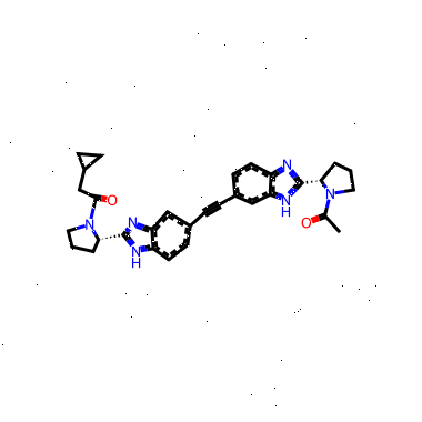 CC(=O)N1CCC[C@H]1c1nc2ccc(C#Cc3ccc4[nH]c([C@@H]5CCCN5C(=O)CC5CC5)nc4c3)cc2[nH]1